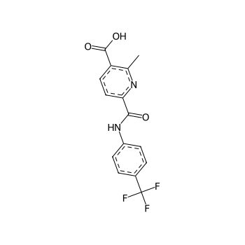 Cc1nc(C(=O)Nc2ccc(C(F)(F)F)cc2)ccc1C(=O)O